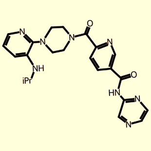 CC(C)Nc1cccnc1N1CCN(C(=O)c2ccc(C(=O)Nc3cnccn3)cn2)CC1